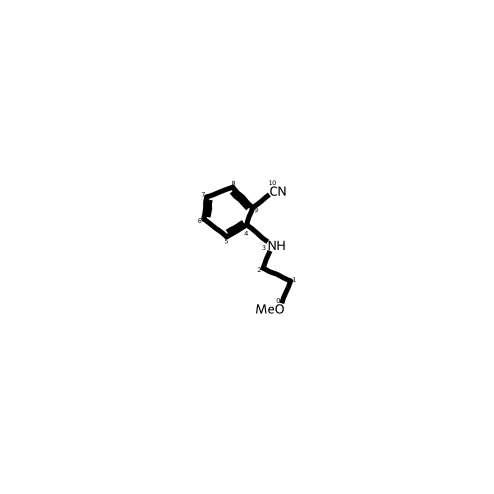 COCCNc1ccccc1C#N